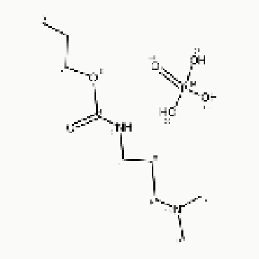 CCCOC(=O)NCCCN(C)C.O=P(O)(O)O